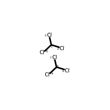 ClC(Cl)Cl.Cl[C](Cl)Cl